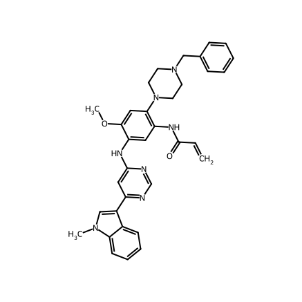 C=CC(=O)Nc1cc(Nc2cc(-c3cn(C)c4ccccc34)ncn2)c(OC)cc1N1CCN(Cc2ccccc2)CC1